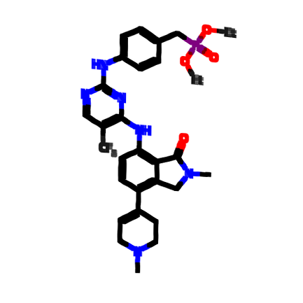 CCOP(=O)(Cc1ccc(Nc2ncc(C(F)(F)F)c(Nc3ccc(C4=CCN(C)CC4)c4c3C(=O)N(C)C4)n2)cc1)OCC